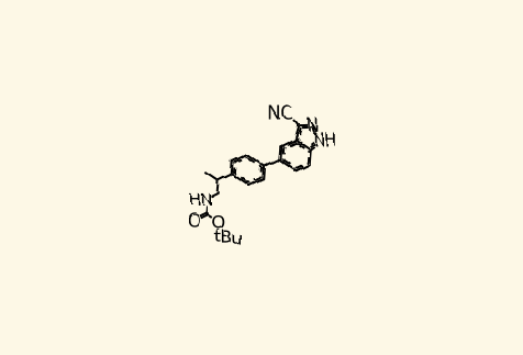 CC(CNC(=O)OC(C)(C)C)c1ccc(-c2ccc3[nH]nc(C#N)c3c2)cc1